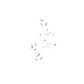 COc1ccc(CC(NC(=O)C(CC(=O)OC(C)(C)C)NC(=O)OCc2ccccc2)C(=O)NC(Cc2ccccc2)C(=O)C2(C)CO2)cc1